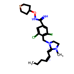 CCC/C=C\C=C1/N(C)CCN1Cc1c(F)cc(C(=N)NOC2CCSCC2)cc1Cl